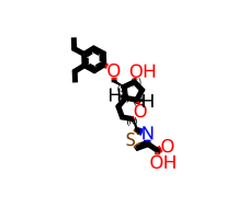 CCc1ccc(OC[C@@H]2[C@H]3CC[C@H](c4nc(C(=O)O)cs4)O[C@H]3C[C@@H]2O)cc1CC